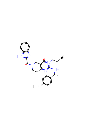 C#CCCn1c(N[C@@H](C)c2ccc(C(F)(F)F)cc2)nc2c(c1=O)CN(C(=O)c1nc3ccccc3[nH]1)CC2